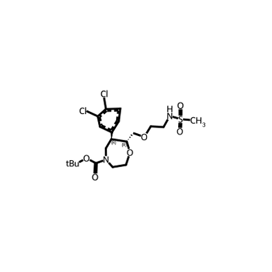 CC(C)(C)OC(=O)N1CCO[C@@H](COCCNS(C)(=O)=O)[C@H](c2ccc(Cl)c(Cl)c2)C1